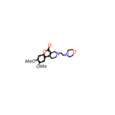 COc1cc2oc(=O)c3c(c2cc1OC)CCN(CCN1CCOCC1)C3